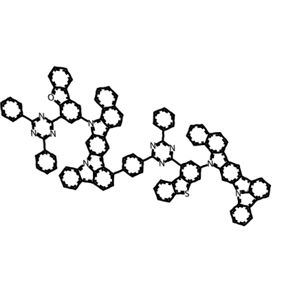 c1ccc(-c2nc(-c3ccccc3)nc(-c3cc(-n4c5cc6c(cc5c5ccc7ccccc7c54)c4c(-c5ccc(-c7nc(-c8ccccc8)nc(-c8cc(-n9c%10cc%11c(cc%10c%10ccc%12ccccc%12c%109)c9cccc%10c%12ccccc%12n%11c%109)cc9sc%10ccccc%10c89)n7)cc5)ccc5c7ccccc7n6c54)cc4c3oc3ccccc34)n2)cc1